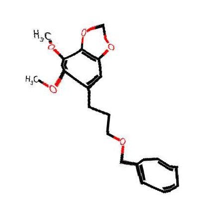 COc1c(CCCOCc2ccccc2)cc2c(c1OC)OCO2